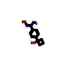 N/C(=N\O)c1ccc(C2(O)CCC2)cc1